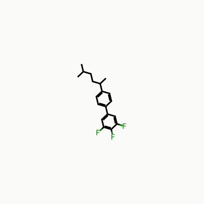 CC(C)CCC(C)c1ccc(-c2cc(F)c(F)c(F)c2)cc1